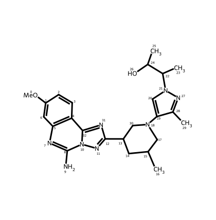 COc1ccc2c(c1)nc(N)n1nc(C3CC(C)CN(c4cn(C(C)C(C)O)nc4C)C3)nc21